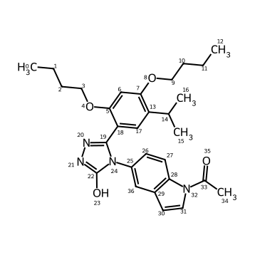 CCCCOc1cc(OCCCC)c(C(C)C)cc1-c1nnc(O)n1-c1ccc2c(ccn2C(C)=O)c1